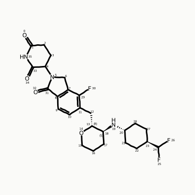 O=C1CCC(N2Cc3c(ccc(C[C@H]4OCCC[C@@H]4N[C@H]4CC[C@H](C(F)F)CC4)c3F)C2=O)C(=O)N1